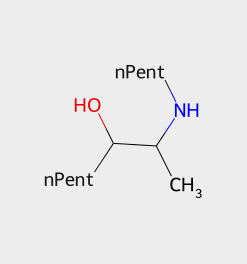 CCCCCNC(C)C(O)CCCCC